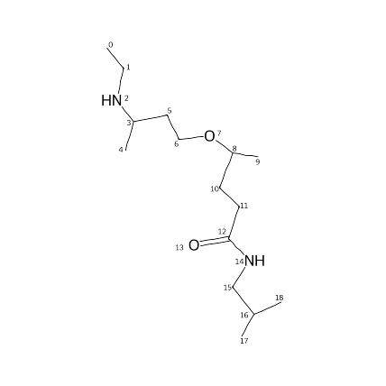 CCNC(C)CCOC(C)CCC(=O)NCC(C)C